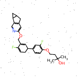 CC(C)(O)CCOc1ccc(C2C=C(COc3cc4c(cn3)C3CC3C4)C(F)=CC2)cc1F